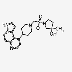 CC1(O)CCN(S(=O)(=O)CN2CCC(c3ccnc4cnc5[nH]ccc5c34)CC2)C1